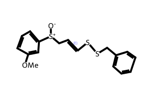 COc1cccc([S+]([O-])C/C=C/SSCc2ccccc2)c1